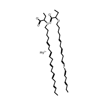 CCC=CCC=CCC=CCC=CCC=CCCCCOC(CC)C(=O)[O-].CCC=CCC=CCC=CCC=CCC=CCCCCOC(CC)C(=O)[O-].[Mg+2]